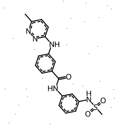 Cc1ccc(Nc2cccc(C(=O)Nc3cccc(NS(C)(=O)=O)c3)c2)nn1